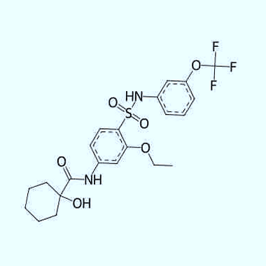 CCOc1cc(NC(=O)C2(O)CCCCC2)ccc1S(=O)(=O)Nc1cccc(OC(F)(F)F)c1